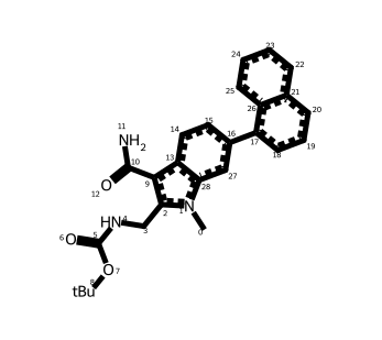 Cn1c(CNC(=O)OC(C)(C)C)c(C(N)=O)c2ccc(-c3cccc4ccccc34)cc21